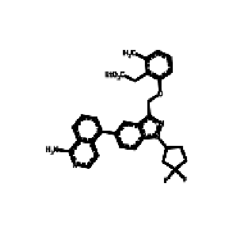 CCOC(=O)Cc1c(C)cccc1OCc1nn(C2CCC(F)(F)C2)c2ccc(-c3cccc4c(N)nccc34)cc12